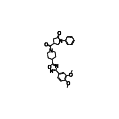 COc1ccc(-c2noc(C3CCN(C(=O)C4CC(=O)N(c5ccccc5)C4)CC3)n2)cc1OC